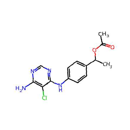 CC(=O)OC(C)c1ccc(Nc2ncnc(N)c2Cl)cc1